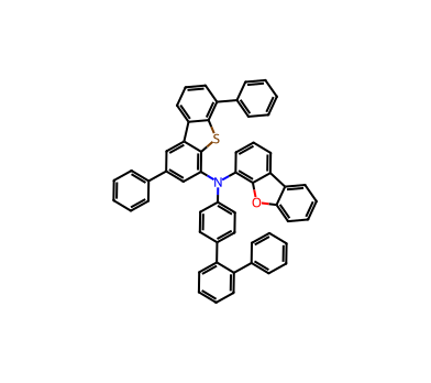 c1ccc(-c2cc(N(c3ccc(-c4ccccc4-c4ccccc4)cc3)c3cccc4c3oc3ccccc34)c3sc4c(-c5ccccc5)cccc4c3c2)cc1